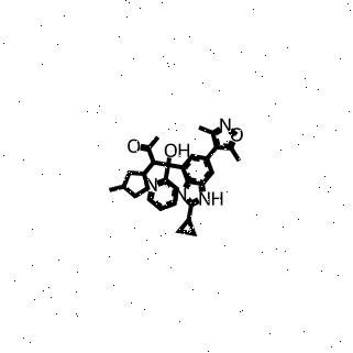 CC(=O)C(C1CCC(C)C1)C(O)(c1ccccn1)c1cc(-c2c(C)noc2C)cc2[nH]c(C3CC3)nc12